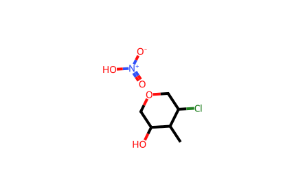 CC1C(O)COCC1Cl.O=[N+]([O-])O